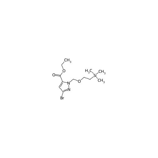 CCOC(=O)c1cc(Br)nn1COCC[Si](C)(C)C